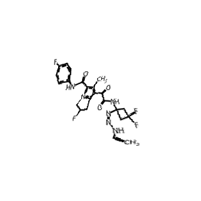 C=CN/N=N\C1(NC(=O)C(=O)c2c(C)c(C(=O)Nc3ccc(F)cc3)n3c2CC(F)C3)CC(F)(F)C1